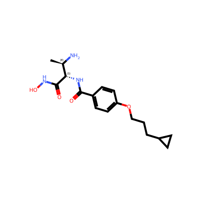 C[C@@H](N)[C@H](NC(=O)c1ccc(OCCCC2CC2)cc1)C(=O)NO